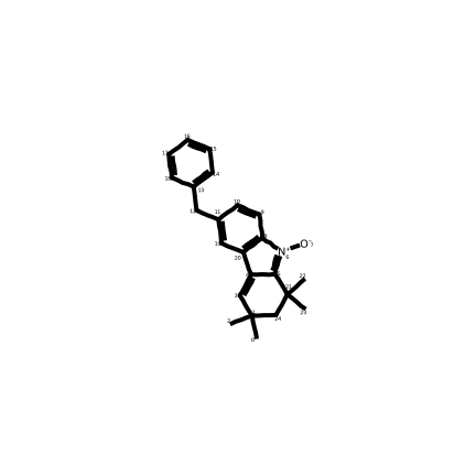 CC1(C)C=C2C(=[N+]([O-])c3ccc(Cc4ccccc4)cc32)C(C)(C)C1